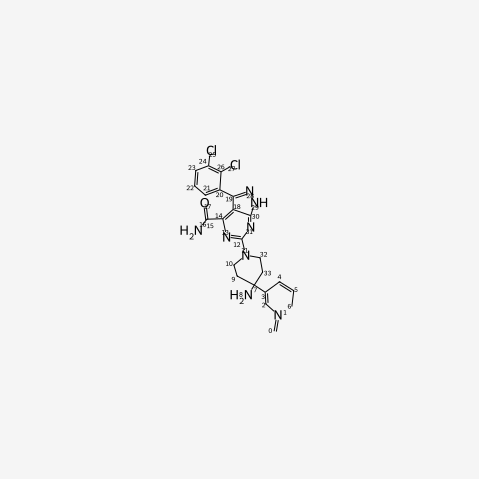 C=N/C=C(\C=C/C)C1(N)CCN(c2nc(C(N)=O)c3c(-c4cccc(Cl)c4Cl)n[nH]c3n2)CC1